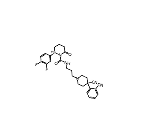 N#Cc1ccccc1C1(C#N)CCN(CCCNC(=O)N2C(=O)CCC[C@@H]2c2ccc(F)c(F)c2)CC1